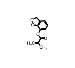 C=C(C)C(=O)Oc1cccc2c1OOC2